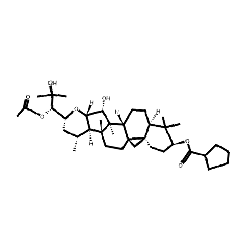 CC(=O)O[C@@H]([C@H]1C[C@@H](C)[C@H]2[C@H](O1)[C@H](O)[C@@]1(C)[C@@H]3CC[C@H]4C(C)(C)[C@@H](OC(=O)C5CCCC5)CC[C@@]45C[C@@]35CC[C@]21C)C(C)(C)O